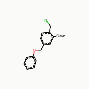 COc1cc(COc2cc[c]cc2)ccc1CCl